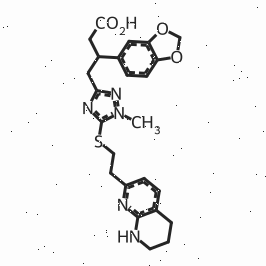 Cn1nc(CC(CC(=O)O)c2ccc3c(c2)OCO3)nc1SCCc1ccc2c(n1)NCCC2